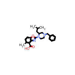 Cc1ccc2oc(N3CCN(Cc4ccccc4)CC3CC(C)C)nc2c1C(=O)O